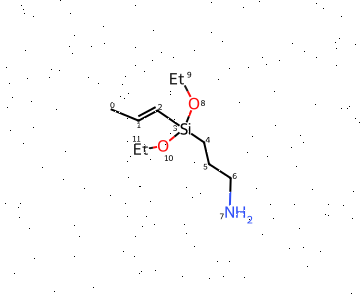 CC=C[Si](CCCN)(OCC)OCC